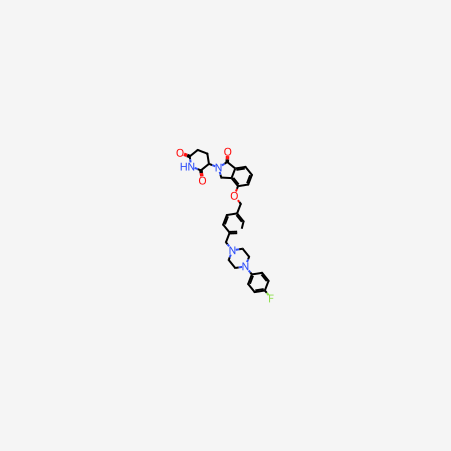 C=C(/C=C\C(=C/C)COc1cccc2c1CN(C1CCC(=O)NC1=O)C2=O)CN1CCN(c2ccc(F)cc2)CC1